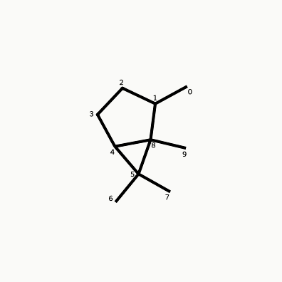 CC1CCC2C(C)(C)C12C